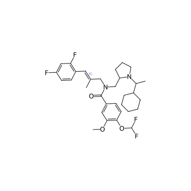 COc1cc(C(=O)N(C/C(C)=C/c2ccc(F)cc2F)CC2CCCN2C(C)C2CCCCC2)ccc1OC(F)F